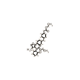 CCOC(=O)Cc1ccc(Cc2ccc(-c3onc(C)c3N(C(=O)OCC)c3ccccc3Cl)cc2)cc1